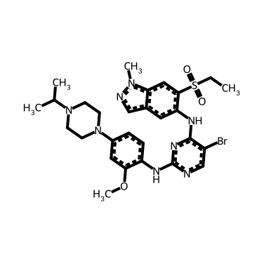 CCS(=O)(=O)c1cc2c(cnn2C)cc1Nc1nc(Nc2ccc(N3CCN(C(C)C)CC3)cc2OC)ncc1Br